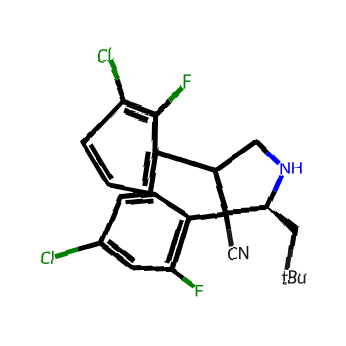 CC(C)(C)C[C@@H]1NCC(c2cccc(Cl)c2F)C1(C#N)c1ccc(Cl)cc1F